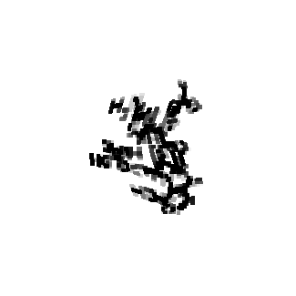 C=CC1=C(C(=O)O)N2C(=O)C(NC(=O)/C(=N/OC(C)=O)c3csc(N)n3)[C@H]2SC1.O=S(=O)(O)O